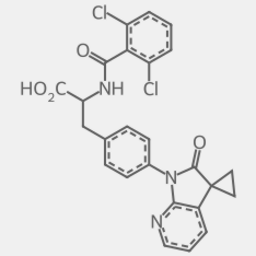 O=C(NC(Cc1ccc(N2C(=O)C3(CC3)c3cccnc32)cc1)C(=O)O)c1c(Cl)cccc1Cl